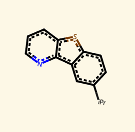 CC(C)c1ccc2sc3cccnc3c2c1